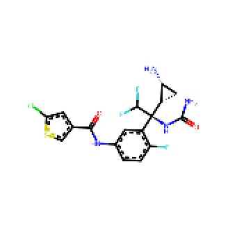 NC(=O)N[C@@](c1cc(NC(=O)c2csc(Cl)c2)ccc1F)(C(F)F)[C@H]1C[C@H]1N